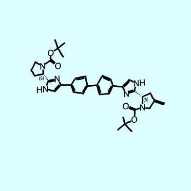 C=C1C[C@@H](c2nc(-c3ccc(-c4ccc(-c5c[nH]c([C@@H]6CCCN6C(=O)OC(C)(C)C)n5)cc4)cc3)c[nH]2)N(C(=O)OC(C)(C)C)C1